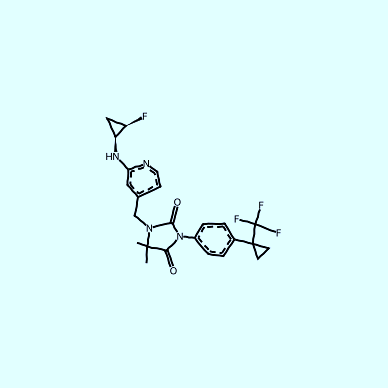 CC1(C)C(=O)N(c2ccc(C3(C(F)(F)F)CC3)cc2)C(=O)N1Cc1ccnc(N[C@H]2C[C@H]2F)c1